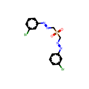 O=S(=O)(CN=Nc1cccc(Br)c1)CN=Nc1cccc(Br)c1